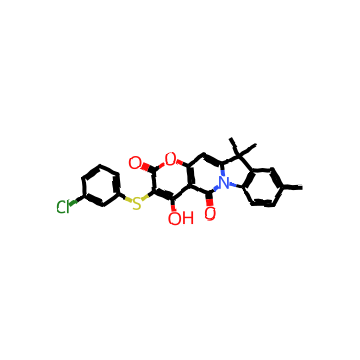 Cc1ccc2c(c1)C(C)(C)c1cc3oc(=O)c(Sc4cccc(Cl)c4)c(O)c3c(=O)n1-2